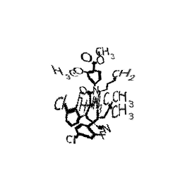 C=CCC[C@@H]1N(c2ccc(C(=O)OC)c(OC)c2)C(=O)[C@H]2[C@H](c3cccc(Cl)c3F)[C@@](C#N)(c3ccc(Cl)cc3F)[C@H](CC(C)(C)C)N12